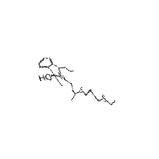 CCSCCCSC(C)CCN1C(CC)c2ccccc2C1(C)O